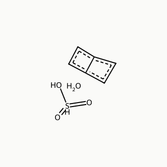 O.O=[SH](=O)O.c1cc2ccc1-2